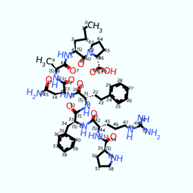 CCCC[C@H](NC(=O)[C@H](C)NC(=O)[C@H](CC(N)=O)NC(=O)[C@H](CCc1ccccc1)NC(=O)[C@H](Cc1ccccc1)NC(=O)[C@H](CCCNC(=N)N)NC(=O)[C@@H]1CCCN1)C(=O)N1CCC[C@@H]1C(=O)O